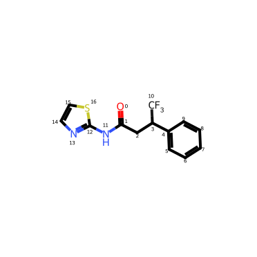 O=C(CC(c1ccccc1)C(F)(F)F)Nc1nccs1